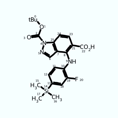 CC(C)(C)OC(=O)n1ncc2c(Nc3ccc([Si](C)(C)C)cc3F)c(C(=O)O)ccc21